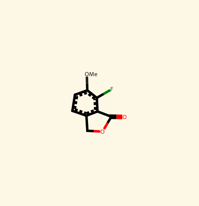 COc1ccc2c(c1F)C(=O)OC2